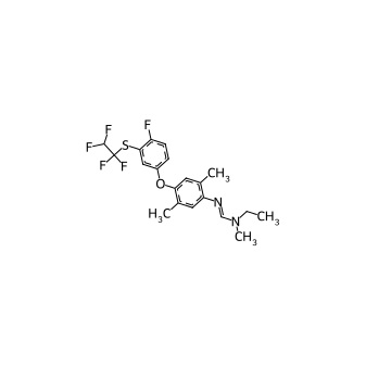 CCN(C)C=Nc1cc(C)c(Oc2ccc(F)c(SC(F)(F)C(F)F)c2)cc1C